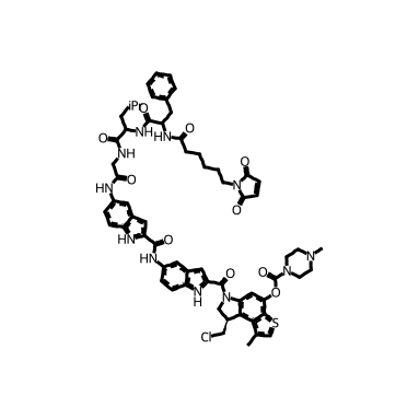 Cc1csc2c(OC(=O)N3CCN(C)CC3)cc3c(c12)[C@@H](CCl)CN3C(=O)c1cc2cc(NC(=O)c3cc4cc(NC(=O)CNC(=O)C(CC(C)C)NC(=O)C(Cc5ccccc5)NC(=O)CCCCCN5C(=O)C=CC5=O)ccc4[nH]3)ccc2[nH]1